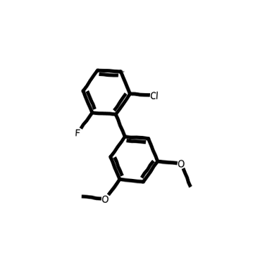 COc1cc(OC)cc(-c2c(Cl)[c]ccc2F)c1